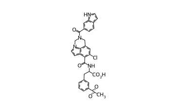 CS(=O)(=O)c1cccc(CC(NC(=O)c2c(Cl)cc3c4c2ccn4CN(C(=O)c2ccc4cc[nH]c4c2)C3)C(=O)O)c1